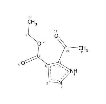 CCOC(=O)c1cn[nH]c1C(C)=O